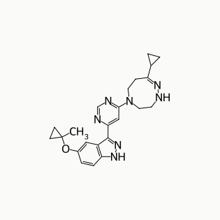 CC1(Oc2ccc3[nH]nc(-c4cc(N5CCNN=C(C6CC6)CC5)ncn4)c3c2)CC1